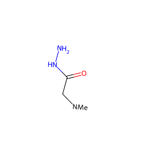 CNCC(=O)NN